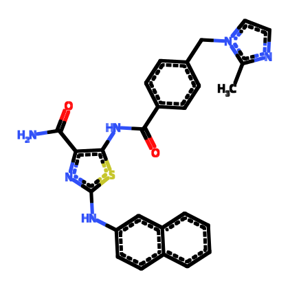 Cc1nccn1Cc1ccc(C(=O)Nc2sc(Nc3ccc4ccccc4c3)nc2C(N)=O)cc1